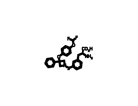 N[C@@H](Cc1cccc(SN2CC(Oc3ccc(OC(F)F)cc3)(c3ccccc3)C2)c1)C(=O)O